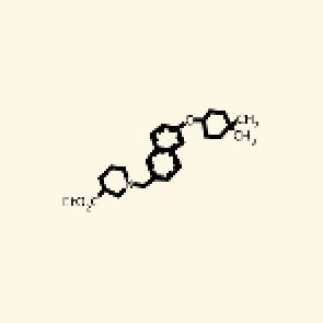 CCOC(=O)C1CCCN(Cc2ccc3cc(OC4CCC(C)(C)CC4)ccc3c2)C1